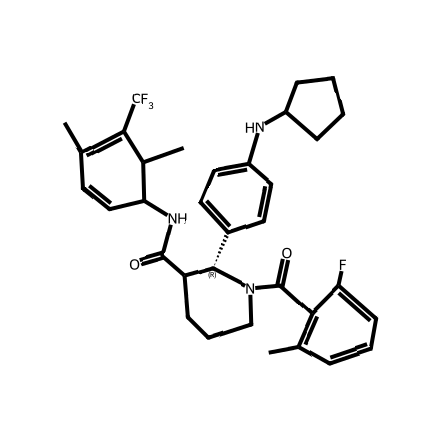 CC1=C(C(F)(F)F)C(C)C(NC(=O)C2CCCN(C(=O)c3c(C)cccc3F)[C@H]2c2ccc(NC3CCCC3)cc2)C=C1